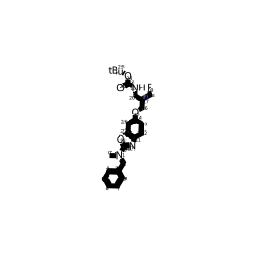 CN(Cc1ccccc1)c1nc2ccc(OC/C(=C/F)CNC(=O)OC(C)(C)C)cc2o1